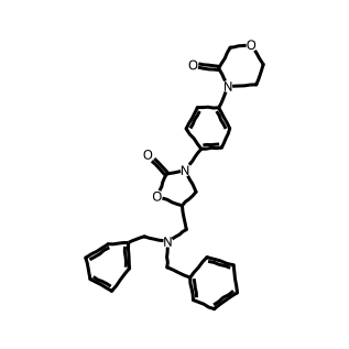 O=C1COCCN1c1ccc(N2CC(CN(Cc3ccccc3)Cc3ccccc3)OC2=O)cc1